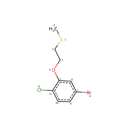 CSCCOc1cc(Br)ccc1Cl